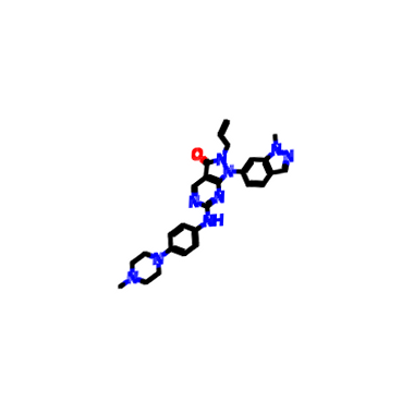 C=CCn1c(=O)c2cnc(Nc3ccc(N4CCN(C)CC4)cc3)nc2n1-c1ccc2cnn(C)c2c1